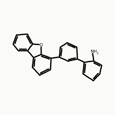 Nc1ccccc1-c1cccc(-c2cccc3c2oc2ccccc23)c1